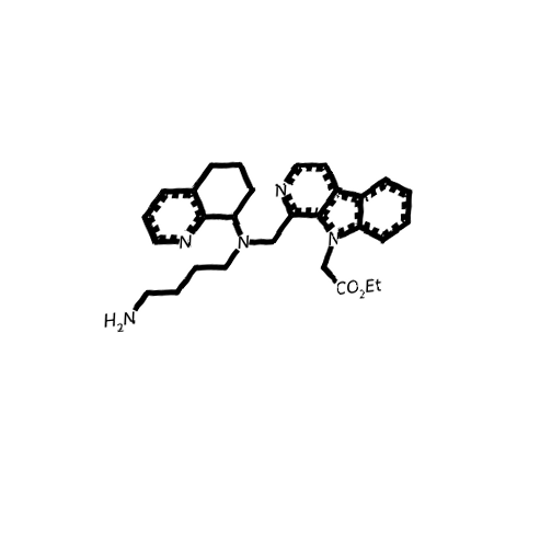 CCOC(=O)Cn1c2ccccc2c2ccnc(CN(CCCCN)C3CCCc4cccnc43)c21